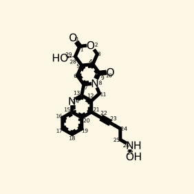 O=C1OCc2c(cc3n(c2=O)Cc2c-3nc3ccccc3c2C#CCCNO)[C@@H]1O